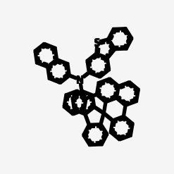 c1ccc(-c2ccc3cccc4c3c2C2(c3ccccc3-c3ccc(N(c5ccc6ccccc6c5)c5ccc6c(c5)sc5ccccc56)cc32)c2ccccc2-4)cc1